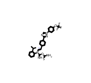 CC(C)c1ccccc1N(/C=C/c1ccc(-c2ncn(-c3ccc(OC(F)(F)F)cc3)n2)cc1)C(=N)OC(N)=S